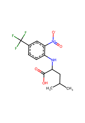 CC(C)CC(Nc1ccc(C(F)(F)F)cc1[N+](=O)[O-])C(=O)O